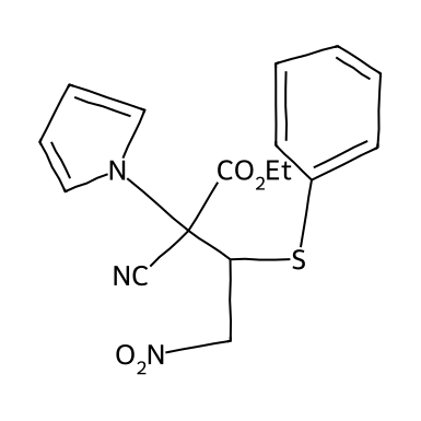 CCOC(=O)C(C#N)(C(C[N+](=O)[O-])Sc1ccccc1)n1cccc1